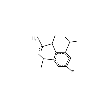 CC(C)c1cc(F)cc(C(C)C)c1C(C)C(N)=O